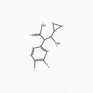 O=C(O)C(c1ccc(F)c(F)c1)C(O)C1CC1